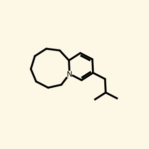 CC(C)CC1=CN2CCCCCCCC2C=C1